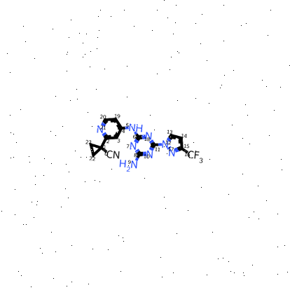 N#CC1(c2cc(Nc3nc(N)nc(-n4ccc(C(F)(F)F)n4)n3)ccn2)CC1